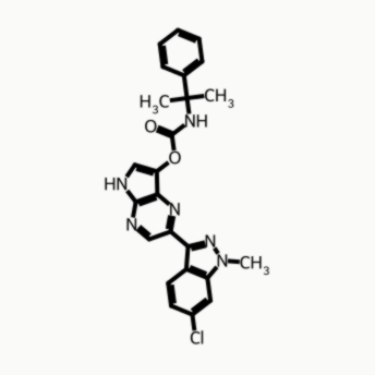 Cn1nc(-c2cnc3[nH]cc(OC(=O)NC(C)(C)c4ccccc4)c3n2)c2ccc(Cl)cc21